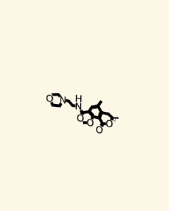 COc1c(C(=O)NCCN2CCOCC2)cc(C)c2c1C(=O)O[C@H](C)C2